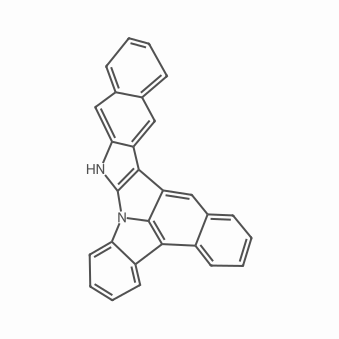 c1ccc2cc3c(cc2c1)[nH]c1c3c2cc3ccccc3c3c4ccccc4n1c23